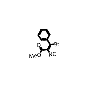 [C-]#[N+]C(C(=O)OC)=C(Br)c1ccccc1